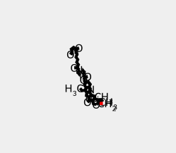 C=C1OCc2c(cc3n(c2=O)Cc2c-3nc3ccc(OC(=O)N4CCN(C(=O)CCCCCN5C(=O)C=CC5=O)CC4)cc3c2CC)[C@@]1(C)CC